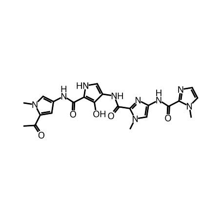 CC(=O)c1cc(NC(=O)c2[nH]cc(NC(=O)c3nc(NC(=O)c4nccn4C)cn3C)c2O)cn1C